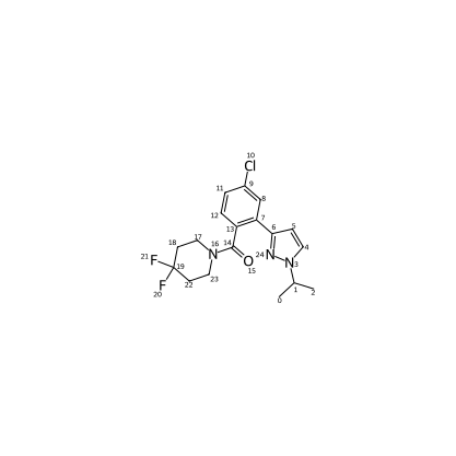 CC(C)n1ccc(-c2cc(Cl)ccc2C(=O)N2CCC(F)(F)CC2)n1